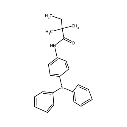 CCC(C)(C)C(=O)Nc1ccc(N(c2ccccc2)c2ccccc2)cc1